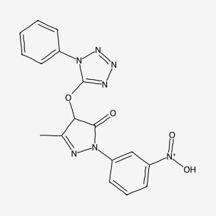 CC1=NN(c2cccc([N+](=O)O)c2)C(=O)C1Oc1nnnn1-c1ccccc1